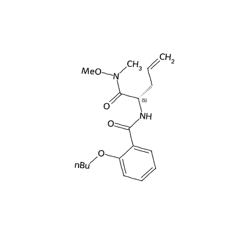 C=CC[C@H](NC(=O)c1ccccc1OCCCC)C(=O)N(C)OC